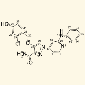 NC(=O)c1nn(-c2ccnc(Nc3ccccc3)c2)cc1OCc1ccc(O)cc1Cl